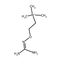 C[N+](C)(C)CCON=C(N)N